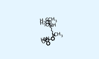 CN(CCCCCNC(=O)OC(C)(C)C)c1cccc(-c2n[nH]c(=O)c3ccccc23)c1